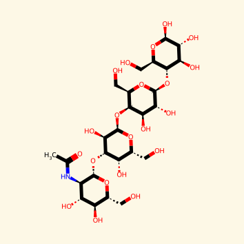 CC(=O)N[C@H]1[C@H](O[C@H]2[C@@H](O)[C@@H](CO)O[C@H](O[C@@H]3[C@H](O)[C@@H](O)[C@H](O[C@H]4[C@H](O)[C@@H](O)[C@H](O)O[C@@H]4CO)O[C@@H]3CO)[C@@H]2O)O[C@H](CO)[C@@H](O)[C@@H]1O